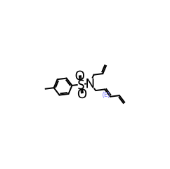 C=C/C=C/CN(CC=C)S(=O)(=O)c1ccc(C)cc1